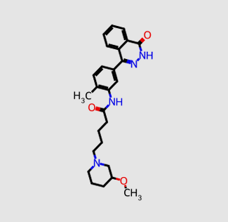 COC1CCCN(CCCCC(=O)Nc2cc(-c3n[nH]c(=O)c4ccccc34)ccc2C)C1